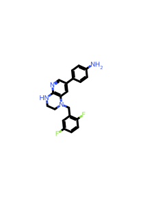 Nc1ccc(-c2cnc3c(c2)N(Cc2cc(F)ccc2F)CCN3)cc1